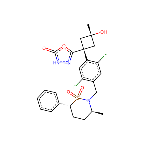 C[C@H]1CC[C@H](c2ccccc2)S(=O)(=O)N1Cc1cc(F)c([C@]2(c3n[nH]c(=O)o3)C[C@@](C)(O)C2)cc1F